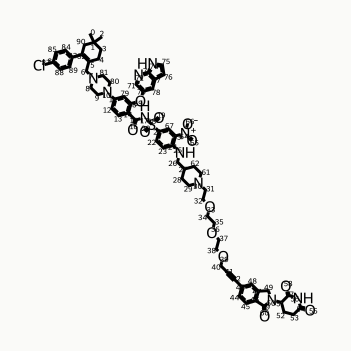 CC1(C)CCC(CN2CCN(c3ccc(C(=O)NS(=O)(=O)c4ccc(NCC5CCN(CCOCCOCCOCC#Cc6ccc7c(c6)CN(C6CCC(=O)NC6=O)C7=O)CC5)c([N+](=O)[O-])c4)c(Oc4cnc5[nH]ccc5c4)c3)CC2)=C(c2ccc(Cl)cc2)C1